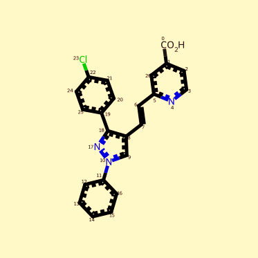 O=C(O)c1ccnc(/C=C/c2cn(-c3ccccc3)nc2-c2ccc(Cl)cc2)c1